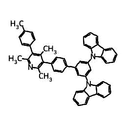 Cc1ccc(-c2c(C)nc(C)c(-c3ccc(-c4cc(-n5c6ccccc6c6ccccc65)cc(-n5c6ccccc6c6ccccc65)c4)cc3)c2C)cc1